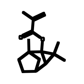 C=C(C)C(=O)OC12C(C3CCC1(C)C3)C2(C)C